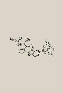 COC(=O)NC(C(=O)N1CCCC1c1nc2ccc(B3OC(C)(C)C(C)(C)O3)cc2[nH]1)C(C)C